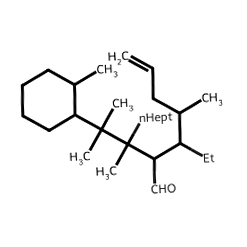 C=CCC(C)C(CC)C(C=O)C(C)(CCCCCCC)C(C)(C)C1CCCCC1C